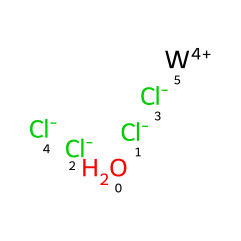 O.[Cl-].[Cl-].[Cl-].[Cl-].[W+4]